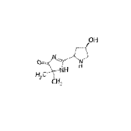 CC1(C)NC(C2C[C@@H](O)CN2)=NC1=O